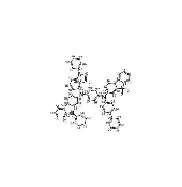 CC1(C)c2ccccc2-c2ccc(N(c3ccc(-c4ccccc4)cc3)c3ccc(-n4c5cc6c(cc5c5ccc7c(ccn7-c7ccccc7)c54)c4ccccc4n6-c4ccccc4)cc3)cc21